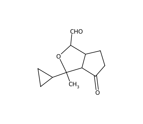 CC1(C2CC2)OC(C=O)C2CCC(=O)C21